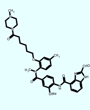 COc1cc(C(=O)N(C)c2ccc(C)cc2OCCCCCC(=O)N2CCN(C)CC2)ccc1NC(=O)c1cccc2[nH]c(C=O)nc12